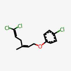 CC(=CCOc1ccc(Cl)cc1)CC=C(Cl)Cl